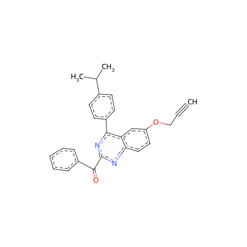 C#CCOc1ccc2nc(C(=O)c3ccccc3)nc(-c3ccc(C(C)C)cc3)c2c1